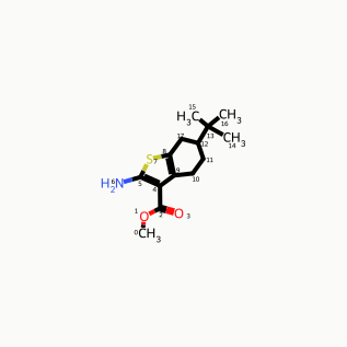 COC(=O)c1c(N)sc2c1CCC(C(C)(C)C)C2